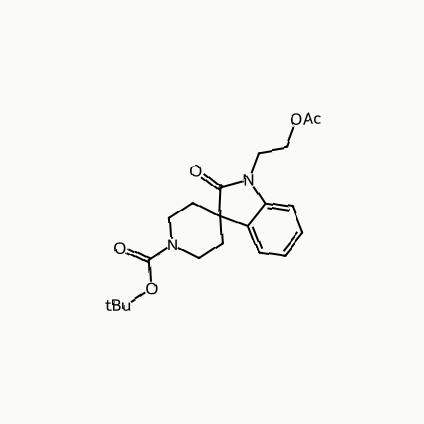 CC(=O)OCCN1C(=O)C2(CCN(C(=O)OC(C)(C)C)CC2)c2ccccc21